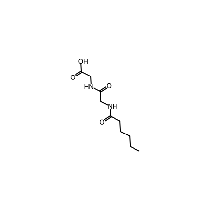 CCCCCC(=O)NCC(=O)NCC(=O)O